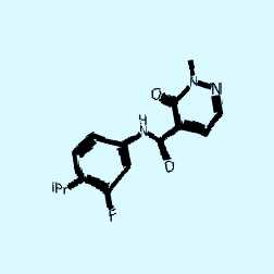 CC(C)c1ccc(NC(=O)c2ccnn(C)c2=O)cc1F